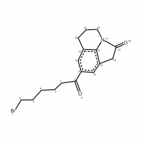 O=C(CCCCCBr)c1cc2c3c(c1)CC(=O)N3CCC2